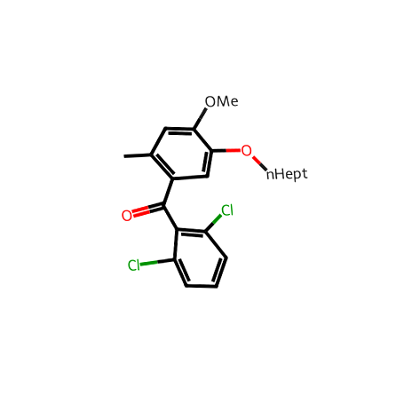 CCCCCCCOc1cc(C(=O)c2c(Cl)cccc2Cl)c(C)cc1OC